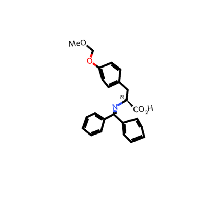 COCOc1ccc(C[C@H](N=C(c2ccccc2)c2ccccc2)C(=O)O)cc1